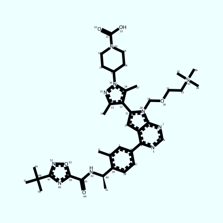 Cc1cc(-c2ncnc3c2cc(-c2c(C)nn(C4CCN(C(=O)O)CC4)c2C)n3COCC[Si](C)(C)C)ccc1[C@@H](C)NC(=O)c1nc(C(C)(C)C)no1